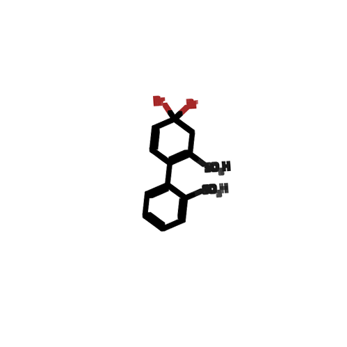 O=S(=O)(O)C1=C(c2ccccc2S(=O)(=O)O)C=CC(Br)(Br)C1